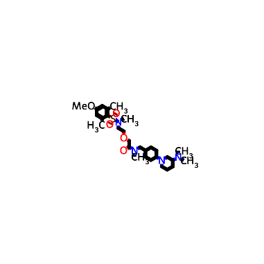 COc1cc(C)c(S(=O)(=O)N(C)CCOCC(=O)N(C)CC2CCC(N3CCCC(N(C)C)C3)CC2)c(C)c1